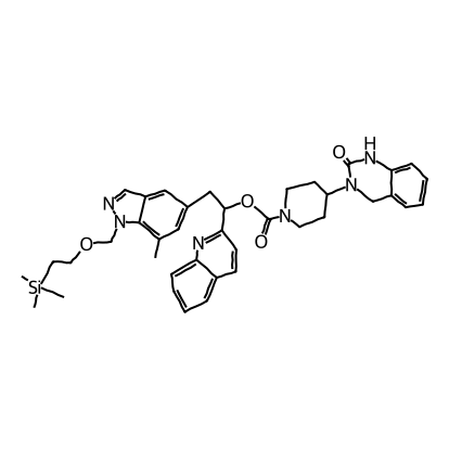 Cc1cc(CC(OC(=O)N2CCC(N3Cc4ccccc4NC3=O)CC2)c2ccc3ccccc3n2)cc2cnn(COCC[Si](C)(C)C)c12